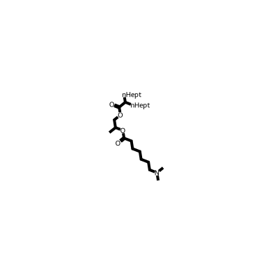 CCCCCCCC(CCCCCCC)C(=O)OCC(C)OC(=O)CCCCCCN(C)C